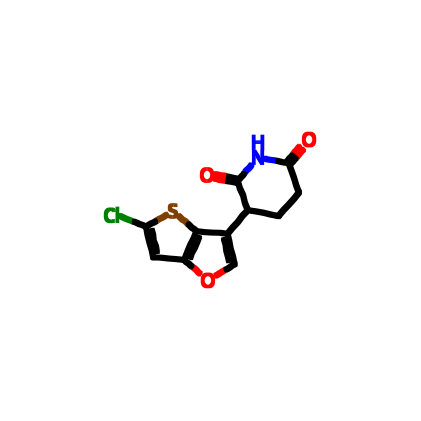 O=C1CCC(c2coc3cc(Cl)sc23)C(=O)N1